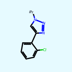 CC(C)n1cc(-c2ccccc2Cl)nn1